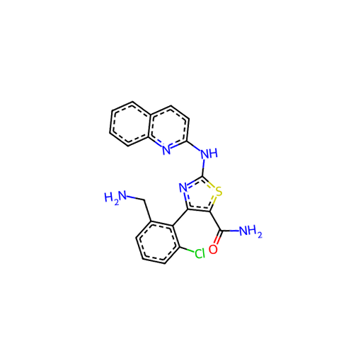 NCc1cccc(Cl)c1-c1nc(Nc2ccc3ccccc3n2)sc1C(N)=O